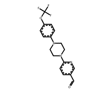 O=Cc1ccc(N2CCN(c3ccc(OC(F)(F)F)cc3)CC2)nc1